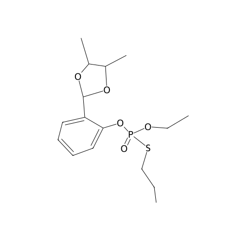 CCCSP(=O)(OCC)Oc1ccccc1C1OC(C)C(C)O1